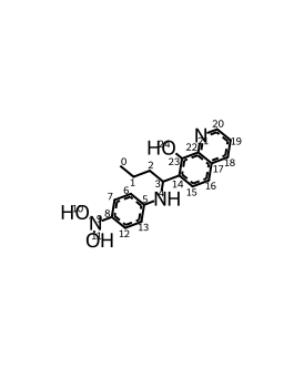 CCCC(Nc1ccc(N(O)O)cc1)c1ccc2cccnc2c1O